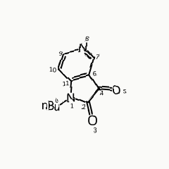 CCCCN1C(=O)C(=O)c2cnccc21